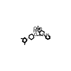 Cc1cc(C)cc([C@H]2CC[C@@H](OC[C@@H]3CN(c4ccccn4)CC[C@@H]3NS(C)(=O)=O)CC2)c1